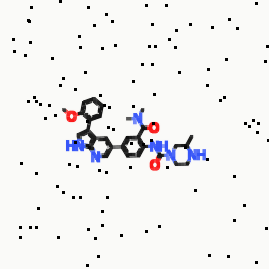 COc1ccccc1-c1c[nH]c2ncc(-c3ccc(NC(=O)N4CCNC(C)C4)c(C(=O)N(C)C)c3)cc12